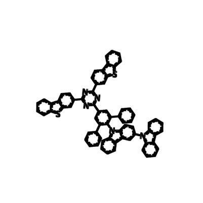 c1ccc(-c2cc(-c3nc(-c4ccc5c(c4)sc4ccccc45)nc(-c4ccc5c(c4)sc4ccccc45)n3)cc(-c3ccccc3)c2-n2c3ccccc3c3cc(-n4c5ccccc5c5ccccc54)ccc32)cc1